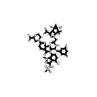 Cn1nc(NS(C)(=O)=O)c2c(Cl)ccc(-n3c([C@H](Cc4cc(F)cc(F)c4)NC(=O)Cn4nc(C(F)F)c5c4C(F)(F)[C@@H]4C[C@H]54)nc4nc(N5CCOC(C(F)F)C5)ccc4c3=O)c21